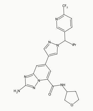 CC(C)C(c1ccc(C(F)(F)F)nc1)n1cc(-c2cc(C(=O)NC3CCOC3)n3nc(N)nc3c2)cn1